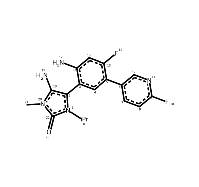 CC(C)n1c(-c2cc(-c3ccc(F)nc3)c(F)cc2N)c(N)n(C)c1=O